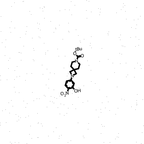 CC(C)(C)OC(=O)N1CCC2(CC1)CN(c1ccc([N+](=O)[O-])c(O)c1)C2